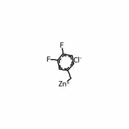 Fc1ccc([CH2][Zn+])cc1F.[Cl-]